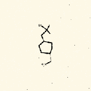 CCC(C)(C)C[C@H]1CC[C@H](CN)CC1